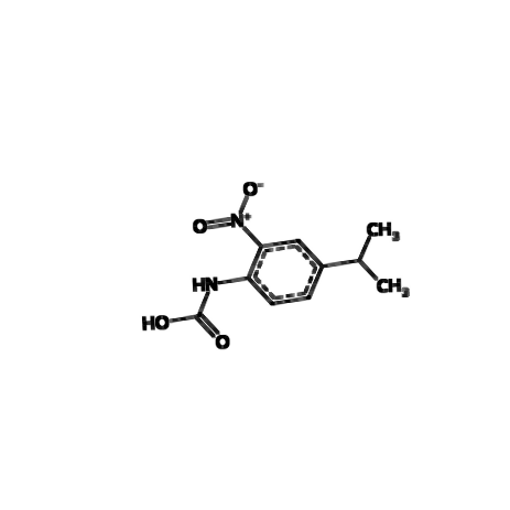 CC(C)c1ccc(NC(=O)O)c([N+](=O)[O-])c1